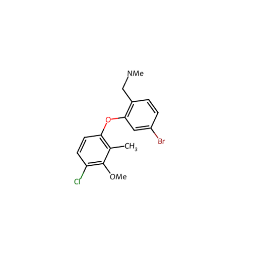 CNCc1ccc(Br)cc1Oc1ccc(Cl)c(OC)c1C